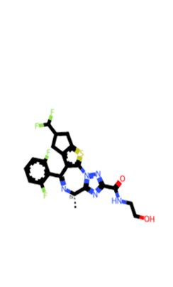 C[C@@H]1N=C(c2c(F)cccc2F)c2c(sc3c2CC(C(F)F)C3)-n2nc(C(=O)NCCO)nc21